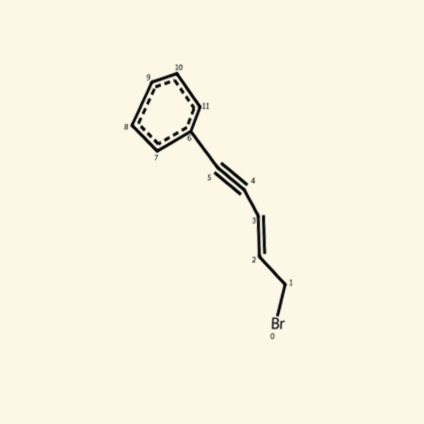 BrC/C=C/C#Cc1ccccc1